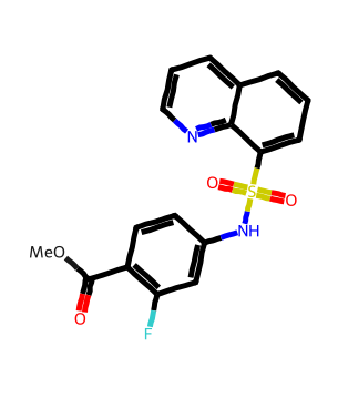 COC(=O)c1ccc(NS(=O)(=O)c2cccc3cccnc23)cc1F